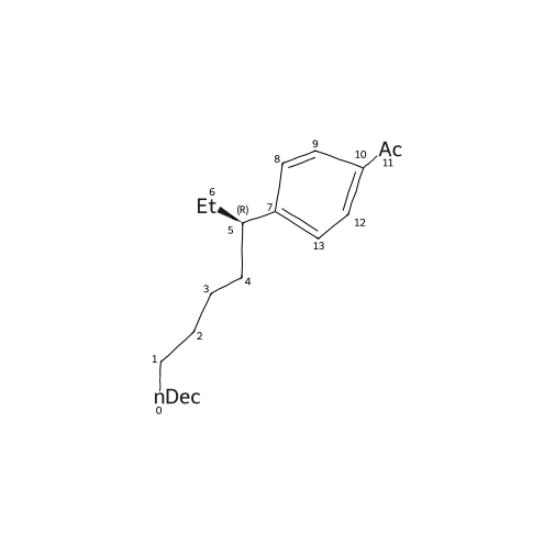 CCCCCCCCCCCCCC[C@@H](CC)c1ccc(C(C)=O)cc1